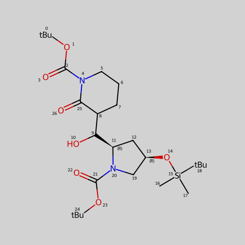 CC(C)(C)OC(=O)N1CCCC(C(O)[C@H]2C[C@@H](O[Si](C)(C)C(C)(C)C)CN2C(=O)OC(C)(C)C)C1=O